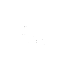 CC1(C)c2cc(C(=O)O)ccc2-c2c1cc(O)c1ccccc21